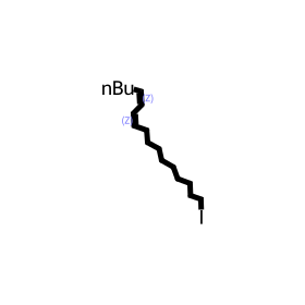 CCCC/C=C\C=C/CCCCCCCCCI